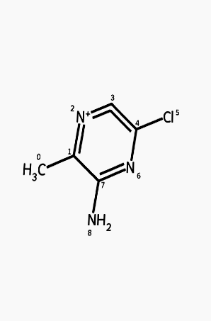 CC1=[N+]=C=C(Cl)N=C1N